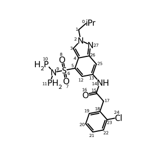 CC(C)Cn1cc2c(S(=O)(=O)N(P)P)cc(NC(=O)Cc3ccccc3Cl)cc2n1